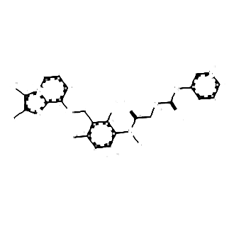 Cc1nc2c(OCc3c(Cl)ccc(N(C)C(=O)CNC(=O)Nc4cccnc4)c3Cl)cccn2c1Br.Cl.Cl